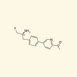 C[S+]([O-])c1ccc(-c2ccc(C[C@H](N)CF)cc2)cn1